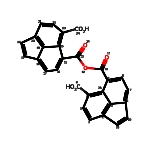 O=C(O)c1ccc2c3c(ccc(C(=O)OC(=O)c4ccc5c6c(ccc(C(=O)O)c46)C=C5)c13)C=C2